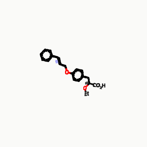 CCO[C@@H](Cc1ccc(OC/C=C/c2ccccc2)cc1)C(=O)O